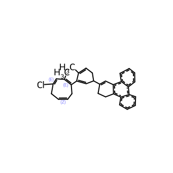 CC1=CCC(C2=Cc3c(c4ccccc4c4ccccc34)CC2)C=C1/C1=C(C)/C=C(/Cl)C/C=C\C1